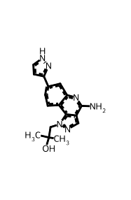 CC(C)(O)Cn1ncc2c(N)nc3cc(-c4cc[nH]n4)ccc3c21